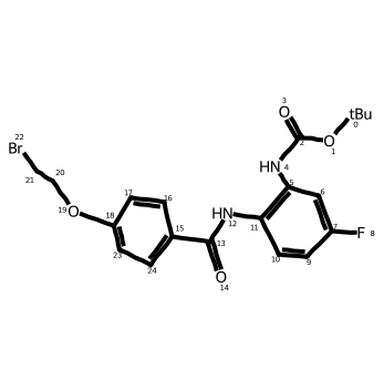 CC(C)(C)OC(=O)Nc1cc(F)ccc1NC(=O)c1ccc(OCCBr)cc1